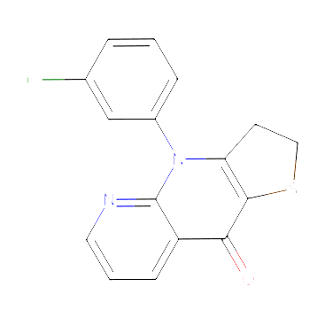 O=c1c2c(n(-c3cccc(Cl)c3)c3ncccc13)CCS2